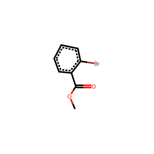 COC(=O)c1cc[c]cc1Br